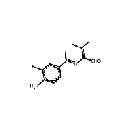 CC(C)=C(C=O)/N=C(\C)c1ccc(N)c(F)c1